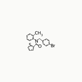 Cc1ccccc1N(Cc1ccc(Br)cc1)C(=O)c1cccs1